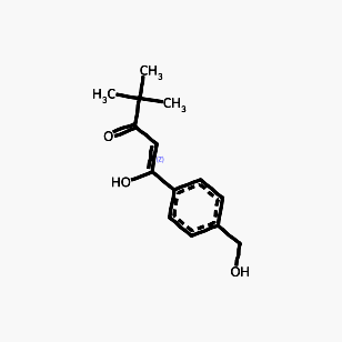 CC(C)(C)C(=O)/C=C(\O)c1ccc(CO)cc1